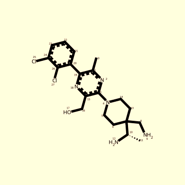 Cc1nc(N2CCC(CN)([C@H](C)N)CC2)c(CO)nc1-c1cccc(Cl)c1Cl